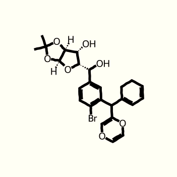 CC1(C)O[C@@H]2O[C@@H](C(O)c3ccc(Br)c(C(C4=CC=CCC4)C4=COC=CO4)c3)[C@@H](O)[C@@H]2O1